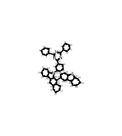 c1ccc(-c2nc(-c3ccccc3)nc(-c3cccc(-n4c5ccccc5c5cc6ccccc6c(-c6ccc7sc8ccccc8c7c6)c54)c3)n2)cc1